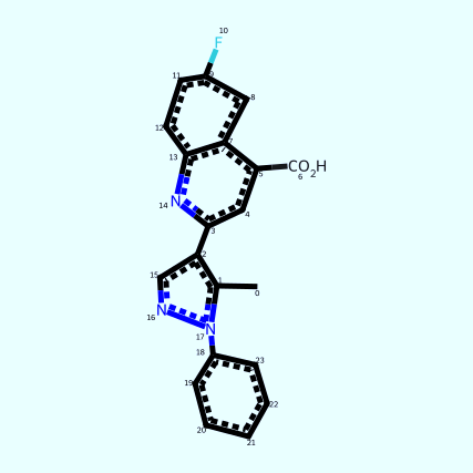 Cc1c(-c2cc(C(=O)O)c3cc(F)ccc3n2)cnn1-c1ccccc1